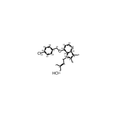 CC(C)=CCn1c(C)c(C)c2nccc(OCc3ccc(Cl)cc3)c21.Cl